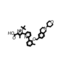 Cc1cccc(-c2cccc(-c3c(C)c(C(=O)O)nn3C(C)(C)C)n2)c1OCc1ccc2c(c1)CCN(C1CCOCC1)C2